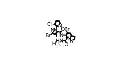 CNC(=O)c1c(NC(=O)c2cc(Br)nn2-c2ncccc2Cl)c(Br)cc2ccnn12